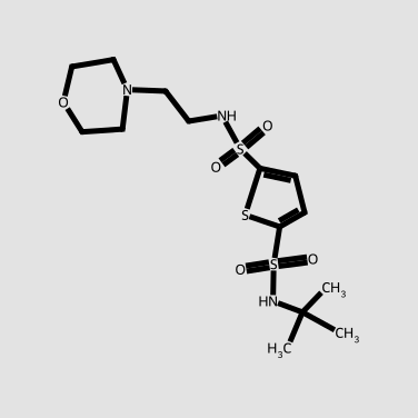 CC(C)(C)NS(=O)(=O)c1ccc(S(=O)(=O)NCCN2CCOCC2)s1